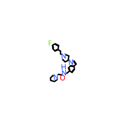 O=C(CN1CCCCC1)NCc1ccc2ccn(C3CCN(CCc4ccc(F)cc4)CC3)c2c1